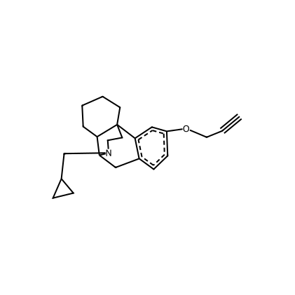 C#CCOc1ccc2c(c1)C13CCCCC1C(C2)N(CC1CC1)CC3